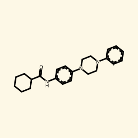 O=C(Nc1ccc(N2CCN(c3[c]cccc3)CC2)cc1)C1CCCCC1